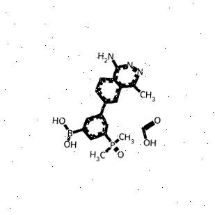 Cc1nnc(N)c2ccc(-c3cc(B(O)O)cc(P(C)(C)=O)c3)cc12.O=CO